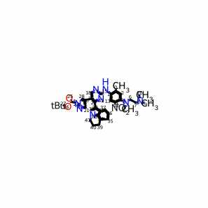 Cc1cc(N(C)CCN(C)C)c([N+](=O)[O-])cc1Nc1ncc(-c2cnn(C(=O)OC(C)(C)C)c2)c(-c2cn3c4c(cccc24)CCC3)n1